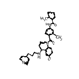 Cc1ccccc1C(=O)Nc1ccc(C(=O)N2CCCC(NCCCc3ccncc3)c3cc(Cl)ccc32)c(C)c1